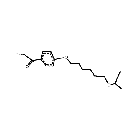 CCC(=O)c1ccc(OCCCCCCOC(C)C)cc1